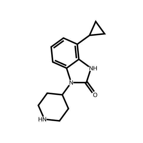 O=c1[nH]c2c(C3CC3)cccc2n1C1CCNCC1